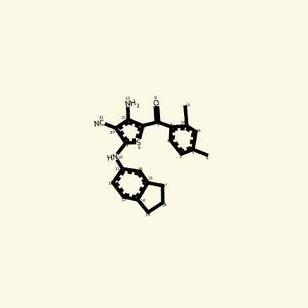 Cc1ccc(C(=O)c2sc(Nc3ccc4c(c3)CCC4)c(C#N)c2N)c(C)c1